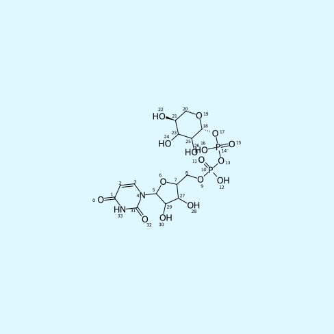 O=c1ccn(C2OC(COP(=O)(O)OP(=O)(O)O[C@H]3OC[C@H](O)C(O)C3O)C(O)C2O)c(=O)[nH]1